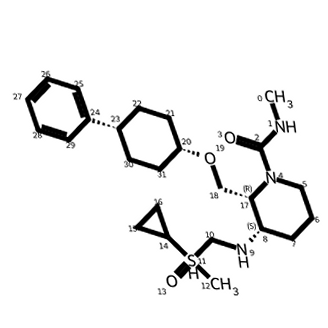 CNC(=O)N1CCC[C@H](NC[SH](C)(=O)C2CC2)[C@@H]1CO[C@H]1CC[C@@H](c2ccccc2)CC1